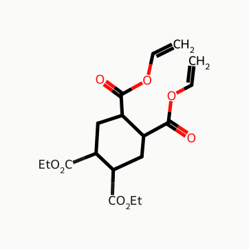 C=COC(=O)C1CC(C(=O)OCC)C(C(=O)OCC)CC1C(=O)OC=C